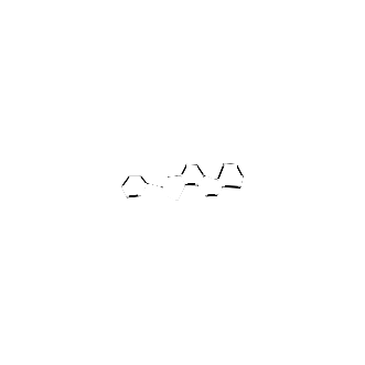 c1ccc(C2CCc3c(ccc4c3ccc3ccccc34)C2)cc1